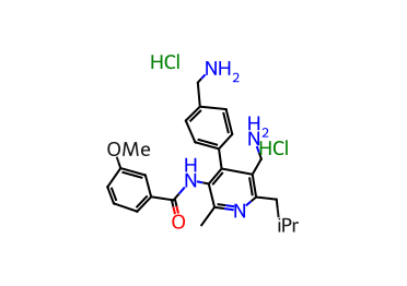 COc1cccc(C(=O)Nc2c(C)nc(CC(C)C)c(CN)c2-c2ccc(CN)cc2)c1.Cl.Cl